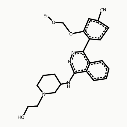 CCOCOc1cc(C#N)ccc1-c1nnc(NC2CCCN(CCO)C2)c2ccccc12